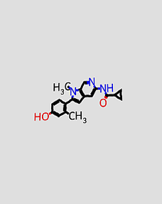 Cc1cc(O)ccc1-c1cc2cc(NC(=O)C3CC3)ncc2n1C